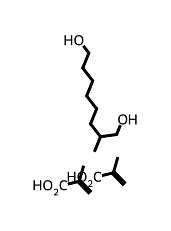 C=C(C)C(=O)O.C=C(C)C(=O)O.CC(CO)CCCCCCO